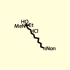 CCCCCCCCCCCCCCCCCCC(O)(CC)NC.Cl